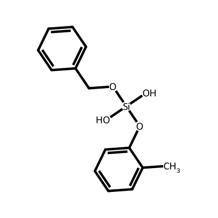 Cc1ccccc1O[Si](O)(O)OCc1ccccc1